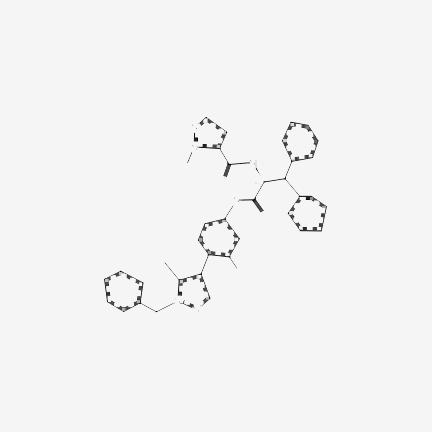 CCn1nccc1C(=O)N[C@H](C(=O)Nc1ccc(-c2cnn(Cc3ccccc3)c2C)c(F)c1)C(c1ccccc1)c1ccccc1